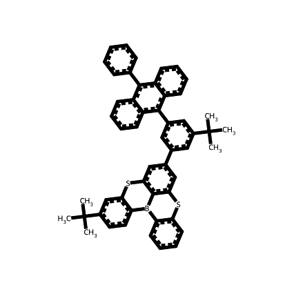 CC(C)(C)c1cc(-c2cc3c4c(c2)Sc2cc(C(C)(C)C)ccc2B4c2ccccc2S3)cc(-c2c3ccccc3c(-c3ccccc3)c3ccccc23)c1